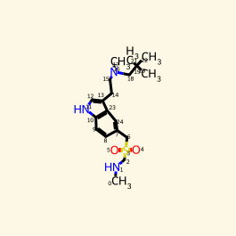 CNCS(=O)(=O)Cc1ccc2[nH]cc(CCN(C)CC(C)(C)C)c2c1